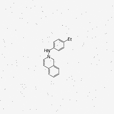 CCc1ccc(NN2C=Cc3ccccc3C2)cc1